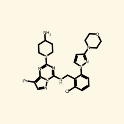 CC(C)c1cnn2c(NCc3c(Cl)cccc3-n3ccc(N4CCOCC4)n3)nc(N3CCC(N)CC3)nc12